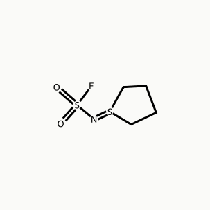 O=S(=O)(F)N=S1CCCC1